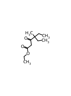 CCOC(=O)CC(=O)C(C)(CC)CC